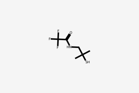 CC(C)(S)CNC(=O)C(F)(F)F